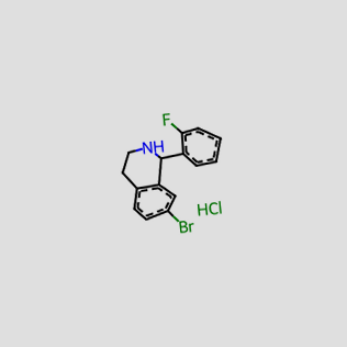 Cl.Fc1ccccc1C1NCCc2ccc(Br)cc21